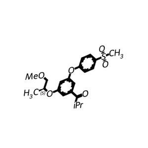 COC[C@H](C)Oc1cc(Oc2ccc(S(C)(=O)=O)cc2)cc(C(=O)C(C)C)c1